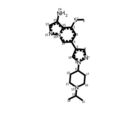 CSc1cc(-c2cnn(C3CCN(C(C)C)CC3)c2)cn2ncc(N)c12